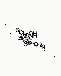 COc1ccc(OC)c(C(=O)N2CCC(CC(=O)NO)(c3ccc(-c4ccc(-c5cnco5)cc4)s3)S(=O)(=O)CC2)c1